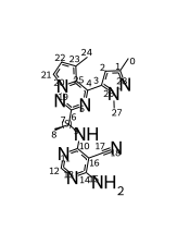 Cc1cc(-c2nc([C@H](C)Nc3ncnc(N)c3C#N)nn3ccc(C)c23)n(C)n1